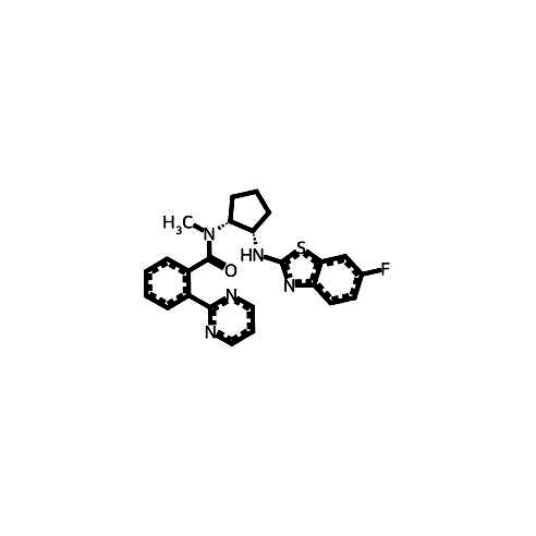 CN(C(=O)c1ccccc1-c1ncccn1)[C@@H]1CCC[C@@H]1Nc1nc2ccc(F)cc2s1